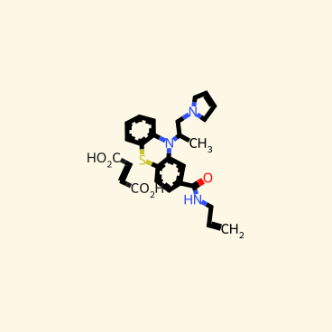 C=CCNC(=O)c1ccc2c(c1)N(C(C)CN1CC=CC1)c1ccccc1S2.O=C(O)C=CC(=O)O